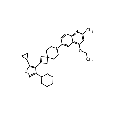 CCOc1cc(C)nc2ccc(N3CCC4(C=C(c5c(C6CCCCC6)noc5C5CC5)C4)CC3)cc12